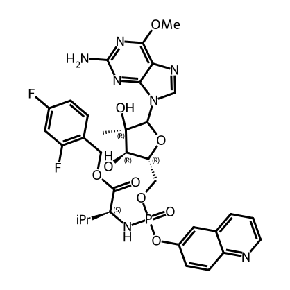 COc1nc(N)nc2c1ncn2C1O[C@H](COP(=O)(N[C@H](C(=O)OCc2ccc(F)cc2F)C(C)C)Oc2ccc3ncccc3c2)[C@@H](O)[C@@]1(C)O